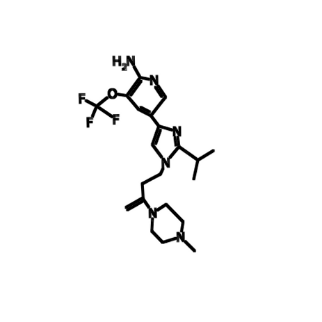 C=C(CCn1cc(-c2cnc(N)c(OC(F)(F)F)c2)nc1C(C)C)N1CCN(C)CC1